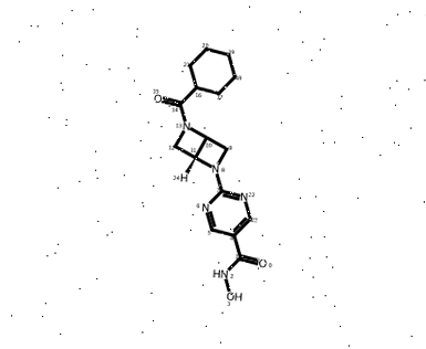 O=C(NO)c1cnc(N2CC3[C@H]2CN3C(=O)C2CCCCC2)nc1